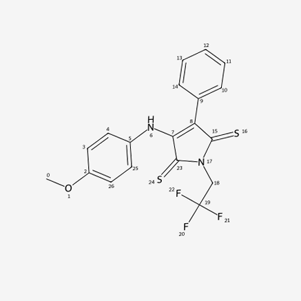 COc1ccc(NC2=C(c3ccccc3)C(=S)N(CC(F)(F)F)C2=S)cc1